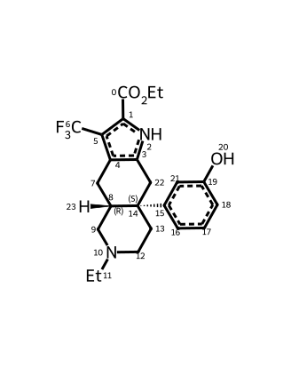 CCOC(=O)c1[nH]c2c(c1C(F)(F)F)C[C@H]1CN(CC)CC[C@]1(c1cccc(O)c1)C2